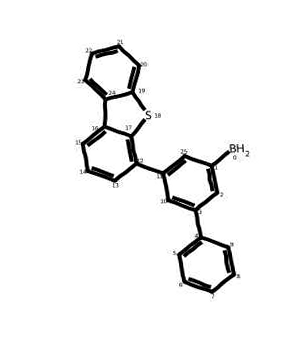 Bc1cc(-c2ccccc2)cc(-c2cccc3c2sc2ccccc23)c1